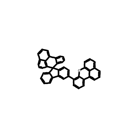 c1ccc2c(c1)-c1cc(-c3cccc4c3Oc3cccc5cccc-4c35)ccc1C21c2ccccc2-c2cccc3cccc1c23